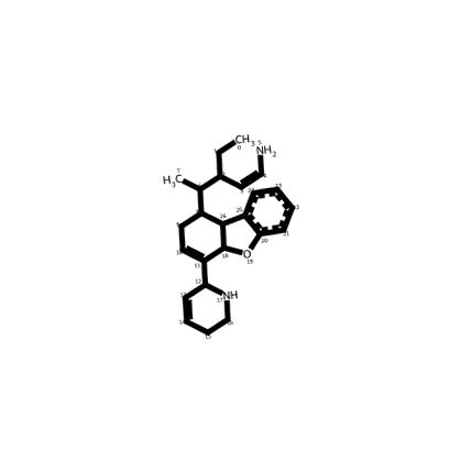 CCC(/C=C\N)C(C)C1CC=C(C2C=CCCN2)C2Oc3ccccc3C21